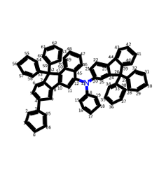 c1ccc(-c2ccc3c(c2)-c2cc(N(c4ccccc4)c4ccc5c(c4)C(c4ccccc4)(c4ccccc4)c4ccccc4-5)c4ccccc4c2C3(c2ccccc2)c2ccccc2)cc1